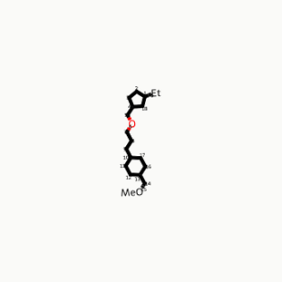 CCC1CCC(COCCCC2CCC(COC)CC2)C1